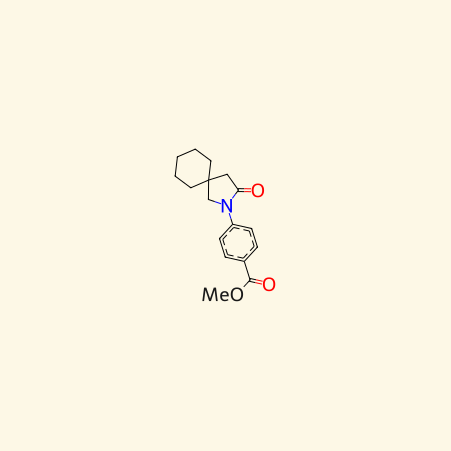 COC(=O)c1ccc(N2CC3(CCCCC3)CC2=O)cc1